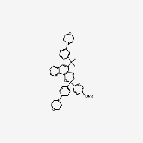 COc1ccc(C2(c3ccc(N4CCOCC4)cc3)C=Cc3c4c(c5ccccc5c3O2)-c2ccc(N3CCOCC3)cc2C4(C)C)cc1